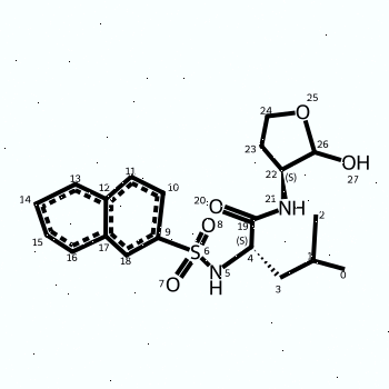 CC(C)C[C@H](NS(=O)(=O)c1ccc2ccccc2c1)C(=O)N[C@H]1CCOC1O